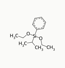 CCO[Si](OCC)(c1ccccc1)C(C)C